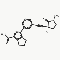 CN1CC[C@@](O)(C#Cc2cccc(-c3nc(C(N)=O)c4n3CCC4)c2)C1=O